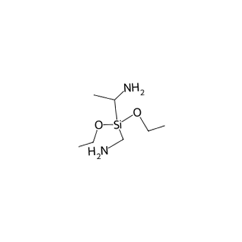 CCO[Si](CN)(OCC)C(C)N